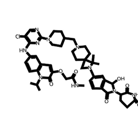 CNC(=O)COc1cc2cc(Nc3nc(N4CCC(CN5CCC6(CC5)CN(c5ccc7c(c5)C(O)N(C5CCC(=O)NC5=O)C7=O)C6(C)C)CC4)ncc3Cl)ccc2n(C(C)C)c1=O